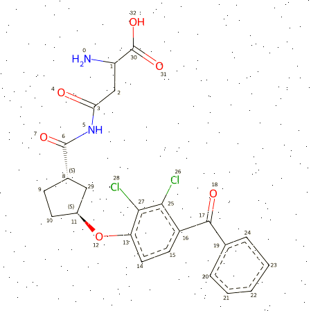 NC(CC(=O)NC(=O)[C@H]1CC[C@H](Oc2ccc(C(=O)c3ccccc3)c(Cl)c2Cl)C1)C(=O)O